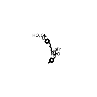 CCCn1c(CCCCc2ccc(OC(C)(C)C(=O)O)cc2)nn(Cc2ccc(C)cc2)c1=O